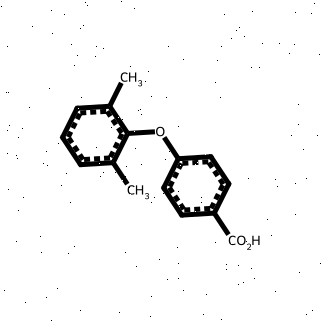 Cc1cccc(C)c1Oc1ccc(C(=O)O)cc1